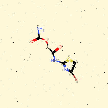 NC(=O)OCC(=O)Nc1nc(Br)cs1